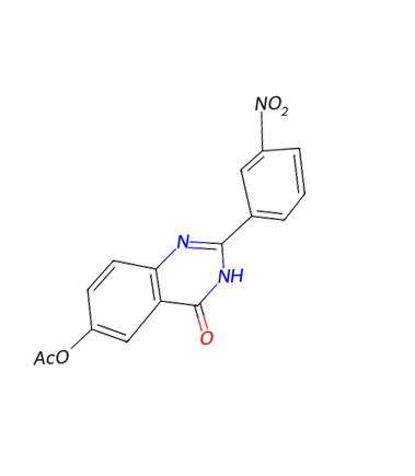 CC(=O)Oc1ccc2nc(-c3cccc([N+](=O)[O-])c3)[nH]c(=O)c2c1